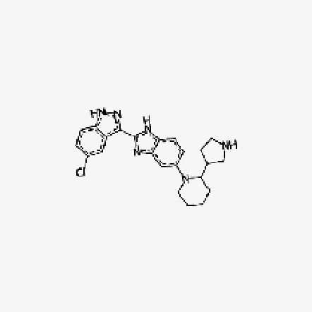 Clc1ccc2[nH]nc(-c3nc4cc(N5CCCCC5C5CCNC5)ccc4[nH]3)c2c1